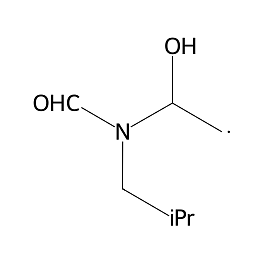 [CH2]C(O)N(C=O)CC(C)C